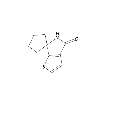 O=C1NC2(CCCC2)c2sccc21